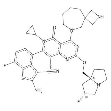 N#Cc1c(N)sc2c(F)ccc(-c3c(F)c4nc(OC[C@@]56CCCN5C[C@H](F)C6)nc(N5CCCCC6(CNC6)C5)c4c(=O)n3C3CC3)c12